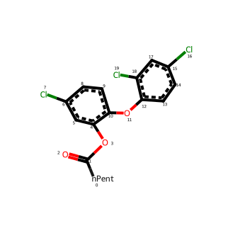 CCCCCC(=O)Oc1cc(Cl)ccc1Oc1ccc(Cl)cc1Cl